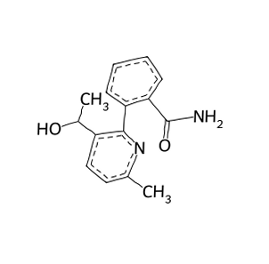 Cc1ccc(C(C)O)c(-c2ccccc2C(N)=O)n1